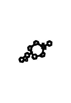 C1=CC2CC(=C1)c1cccc(c1)-c1nc(-c3ccccc3)nc(n1)-c1cccc(c1)-c1cccc(c1)N2c1ccc2c(c1)oc1ccccc12